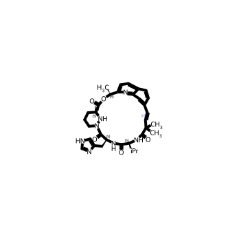 CC(C)[C@@H]1NC(=O)C(C)(C)/C=C/c2ccc3ccc(nc3c2)[C@@H](C)OC(=O)[C@@H]2CCCN(N2)C(=O)[C@H](Cc2c[nH]cn2)NC1=O